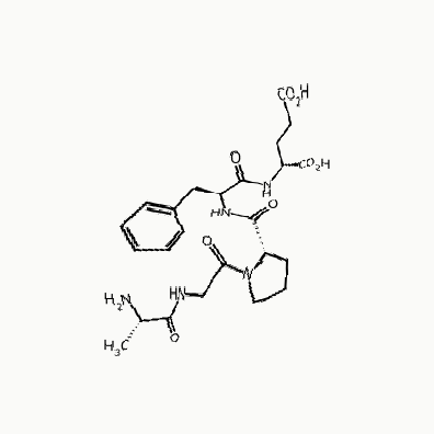 C[C@H](N)C(=O)NCC(=O)N1CCC[C@H]1C(=O)N[C@@H](Cc1ccccc1)C(=O)N[C@@H](CCC(=O)O)C(=O)O